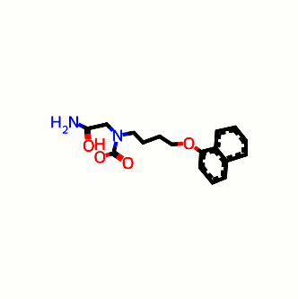 NC(=O)CN(CCCCOc1cccc2ccccc12)C(=O)O